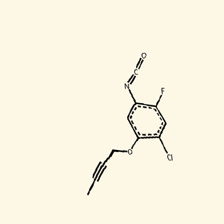 CC#CCOc1cc(N=C=O)c(F)cc1Cl